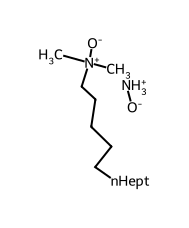 CCCCCCCCCCCC[N+](C)(C)[O-].[NH3+][O-]